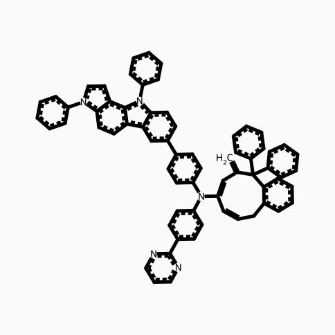 C=C1/C=C(N(c2ccc(-c3ccc4c(c3)c3ccc5c(ccn5-c5ccccc5)c3n4-c3ccccc3)cc2)c2ccc(-c3ncccn3)cc2)\C=C/Cc2ccccc2C1(c1ccccc1)c1ccccc1